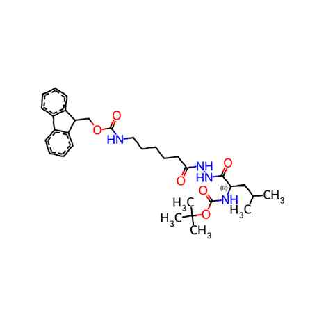 CC(C)C[C@@H](NC(=O)OC(C)(C)C)C(=O)NNC(=O)CCCCCNC(=O)OCC1c2ccccc2-c2ccccc21